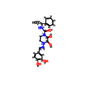 O=C(O)[C@H](NC(=O)N1CCN(N=Cc2ccc(O)c(O)c2)C(=O)C1=O)c1ccccc1